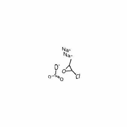 CC1OC1Cl.O=S([O-])[O-].[Na+].[Na+]